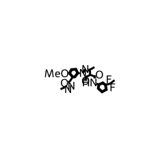 COc1ccc(N2N=C(C)C(C(=O)Nc3cccc(C(C)(F)F)c3)C2=O)cc1-c1nnc(C)o1